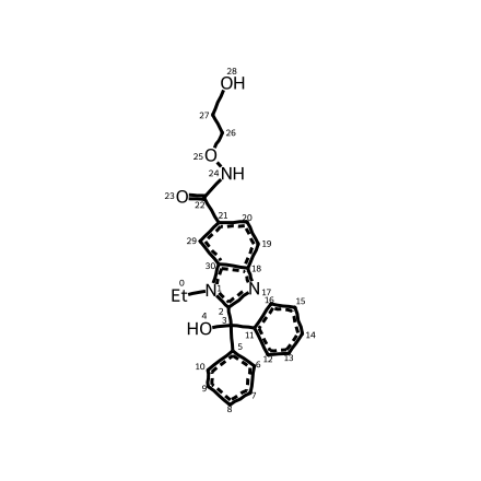 CCn1c(C(O)(c2ccccc2)c2ccccc2)nc2ccc(C(=O)NOCCO)cc21